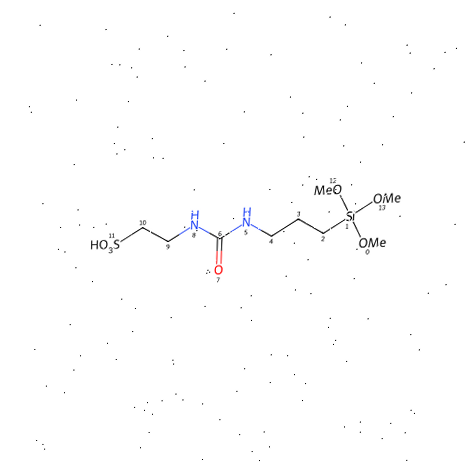 CO[Si](CCCNC(=O)NCCS(=O)(=O)O)(OC)OC